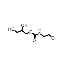 O=C(NCCO)OCC(O)CO